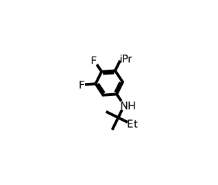 CCC(C)(C)Nc1cc(F)c(F)c(C(C)C)c1